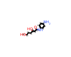 Nc1ccc(NC(=O)/C=C(\O)CCCO)cc1